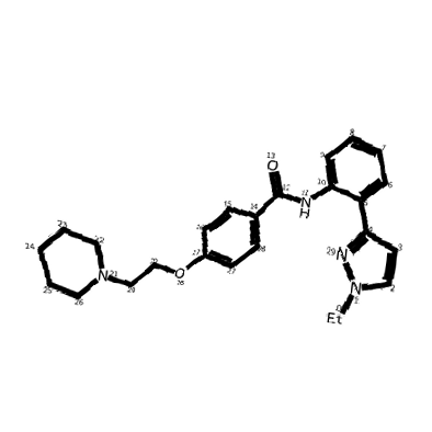 CCn1ccc(-c2ccccc2NC(=O)c2ccc(OCCN3CCCCC3)cc2)n1